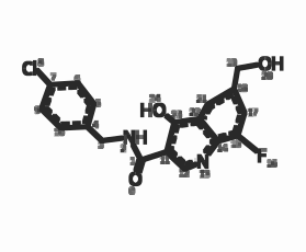 O=C(NCc1ccc(Cl)cc1)c1cnc2c(F)cc(CO)cc2c1O